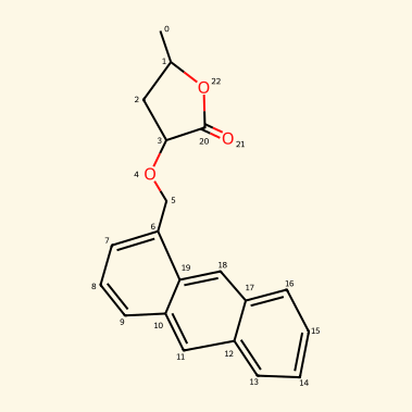 CC1CC(OCc2cccc3cc4ccccc4cc23)C(=O)O1